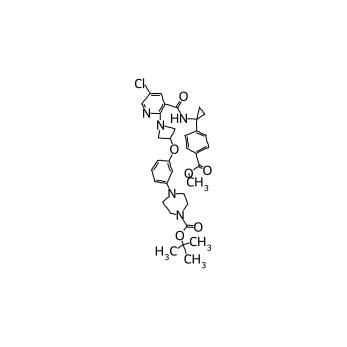 COC(=O)c1ccc(C2(NC(=O)c3cc(Cl)cnc3N3CC(Oc4cccc(N5CCN(C(=O)OC(C)(C)C)CC5)c4)C3)CC2)cc1